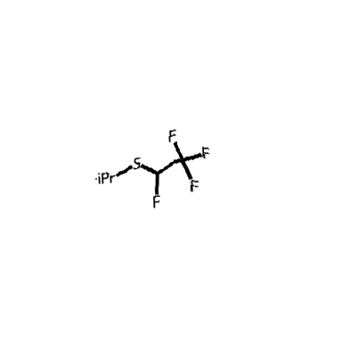 C[C](C)SC(F)C(F)(F)F